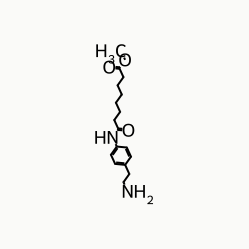 COC(=O)CCCCCCC(=O)Nc1ccc(CCN)cc1